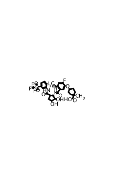 COc1cc(F)c(OC2CCC(C)(C(=O)O)CC2)cc1C(=O)N[C@H]1C(C(=O)Nc2cccc(S(=O)(=O)C(F)(F)F)c2)CC(O)C1O